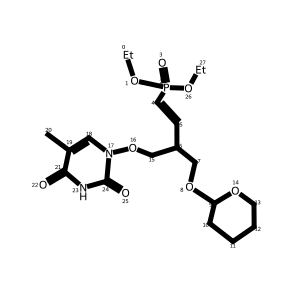 CCOP(=O)(C=CC(COC1CCCCO1)COn1cc(C)c(=O)[nH]c1=O)OCC